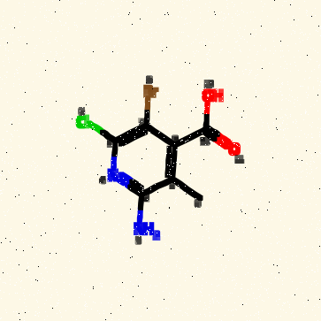 Cc1c(N)nc(Cl)c(Br)c1C(=O)O